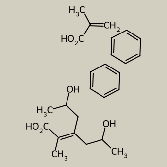 C=C(C)C(=O)O.CC(C(=O)O)=C(CC(C)O)CC(C)O.c1ccccc1.c1ccccc1